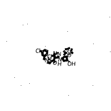 CC(C)[Si](O[C@H]1C[C@H](Nc2ncnc(Cl)c2C(=O)c2ccn(Cc3cccc(Cl)c3)n2)C[C@@H]1CO)(C(C)C)C(C)C